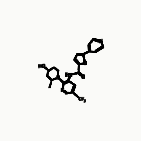 C[C@H]1C[C@@H](O)CCN1c1ncc(C(F)(F)F)cc1NC(=O)c1ccc(-c2ccncc2)o1